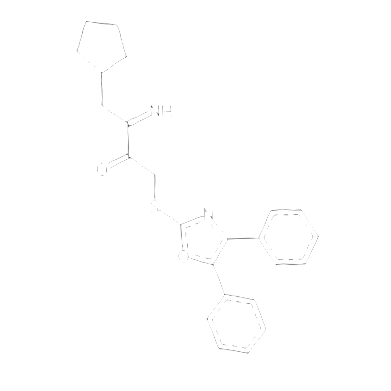 N=C(CC1CCCC1)C(=O)CSc1nc(-c2ccccc2)c(-c2ccccc2)o1